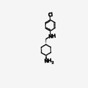 N[C@H]1CC[C@H](CNc2ccc(Cl)cc2)CC1